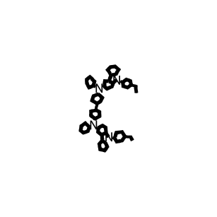 C=Cc1ccc(-n2c3ccccc3c3cc(N(c4ccccc4)c4ccc(-c5ccc(N(c6ccccc6)c6ccc7c(c6)c6ccccc6n7-c6ccc(C=C)cc6)cc5)cc4)ccc32)cc1